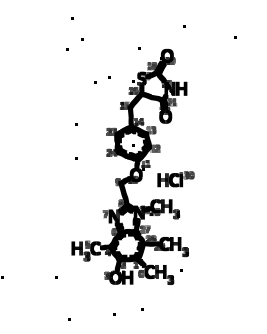 Cc1c(O)c(C)c2nc(COc3ccc(CC4SC(=O)NC4=O)cc3)n(C)c2c1C.Cl